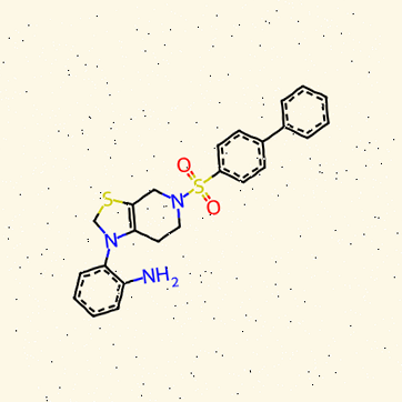 Nc1ccccc1N1CSC2=C1CCN(S(=O)(=O)c1ccc(-c3ccccc3)cc1)C2